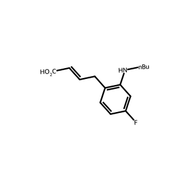 CCCCNc1cc(F)ccc1CC=CC(=O)O